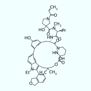 C=CC(=O)N1CCC(O)(C(=O)N(C)[C@H](C(=O)N[C@H]2Cc3cc(O)cc(c3)-c3ccc4c(c3)c(c(-c3cccc5c3COC5)n4CC)CC(C)(C)COC(=O)[C@@]3(O)CCCN(N3)C2=O)C(C)C)C1